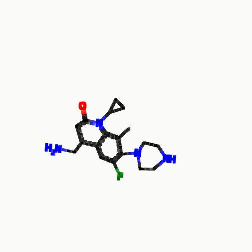 Cc1c(N2CCNCC2)c(F)cc2c(CN)cc(=O)n(C3CC3)c12